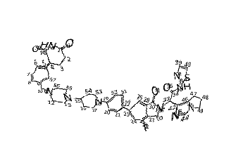 O=C1CCC(c2cccc(CN3CCN(C4CCN(c5ccc(-c6cc(F)c7c(c6)C(=O)N(C(C(=O)Nc6nccs6)c6ncn8c6CCC8)C7)cc5)CC4)CC3)c2)C(=O)N1